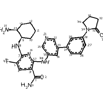 NC(=O)c1cc(F)c(N[C@@H]2CCCC[C@@H]2N)nc1Nc1cncc(-c2cccc(N3CCCC3=O)c2)c1